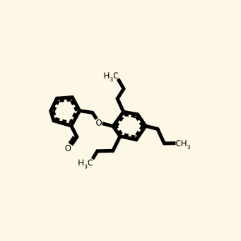 CCCc1cc(CCC)c(OCc2ccccc2C=O)c(CCC)c1